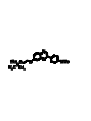 CNc1ccc(-c2cnc3ccc(OCCO[Si](C)(C)C(C)(C)C)cc3n2)cc1